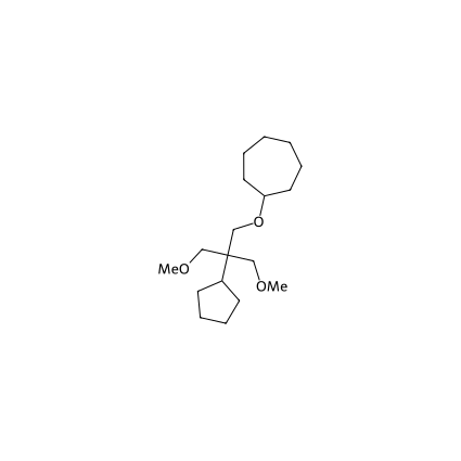 COCC(COC)(COC1CCCCCC1)C1CCCC1